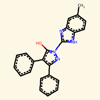 Cc1ccc2[nH]c(-n3nc(-c4ccccc4)c(-c4ccccc4)c3O)nc2c1